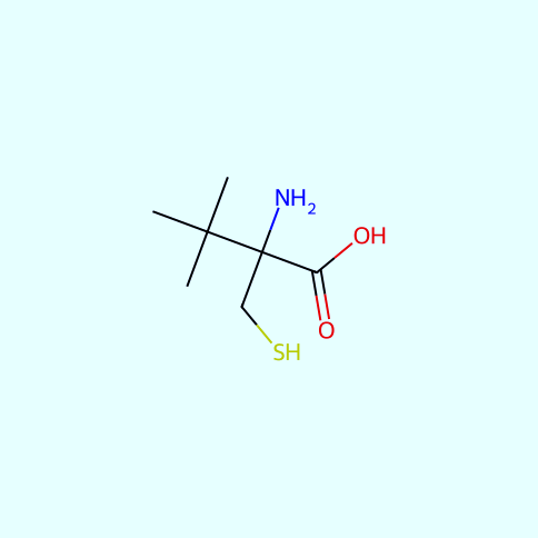 CC(C)(C)C(N)(CS)C(=O)O